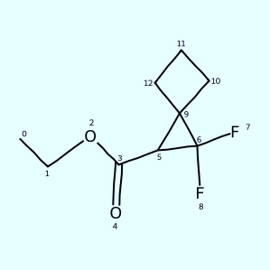 CCOC(=O)C1C(F)(F)C12CCC2